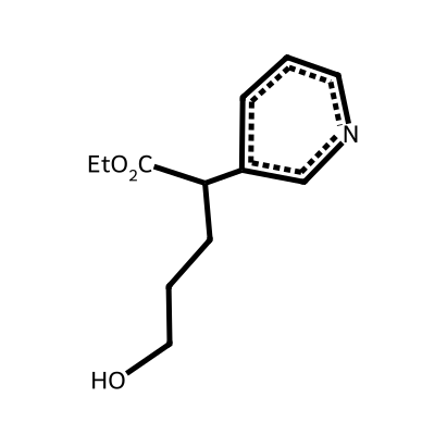 CCOC(=O)C(CCCO)c1cccnc1